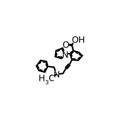 CN(CC#Cc1cccc(C(=O)O)c1-n1cccc1)Cc1ccccc1